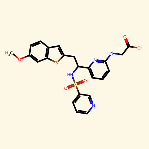 COc1ccc2cc(CC(NS(=O)(=O)c3cccnc3)c3cccc(NCC(=O)O)n3)sc2c1